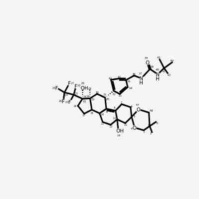 CC1(C)COC2(CCC3=C4C(CCC3(O)C2)C2CC[C@@](O)(C(F)(F)C(F)(F)F)[C@@]2(C)C[C@@H]4c2ccc(CNC(=O)NC(C)(C)C)cc2)OC1